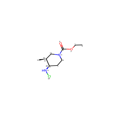 CCOC(=O)N1CC[C@@H](NCl)[C@@H](C)C1